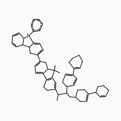 CC(C1=CC2=C(CC1)C1=CC=C(C3=CC=C4C(C3)C3C=CC=CC3N4c3ccccc3)CC1C2(C)C)C(CC1CC=C(C2C=CCCC2)CC1)C1C=CC(C2=CCCCC2)=CC1